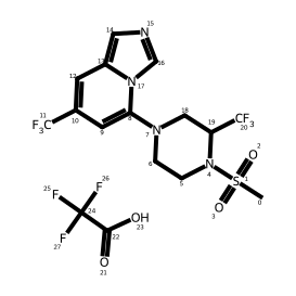 CS(=O)(=O)N1CCN(c2cc(C(F)(F)F)cc3cncn23)CC1C(F)(F)F.O=C(O)C(F)(F)F